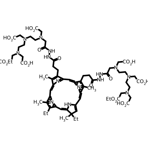 CCOC(=O)CN(CCN(CCN(CC(=O)O)CC(=O)NNC(=O)CCC1=C(C)/C2=C/c3[nH]c(c(CC)c3C)/C=C3\NC(=CC3(C)CC)/C=c3\[nH]/c(c(CCC(=O)NNC(=O)CN(CCN(CCN(CC(=O)O)CC(=O)OCC)CC(=O)O)CC(=O)O)c3C)=C\C1=N2)CC(=O)O)CC(=O)O